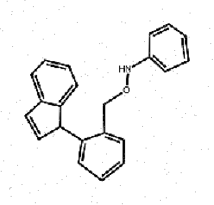 C1=CC(c2ccccc2CONc2ccccc2)c2ccccc21